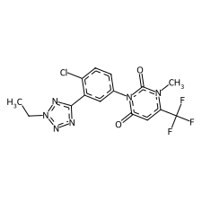 CCn1nnc(-c2cc(-n3c(=O)cc(C(F)(F)F)n(C)c3=O)ccc2Cl)n1